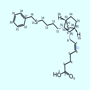 O=C(O)CCC/C=C\C[C@@H]1[C@H](CCCCSCc2ccccc2)[C@@H]2CC[C@H]1S2